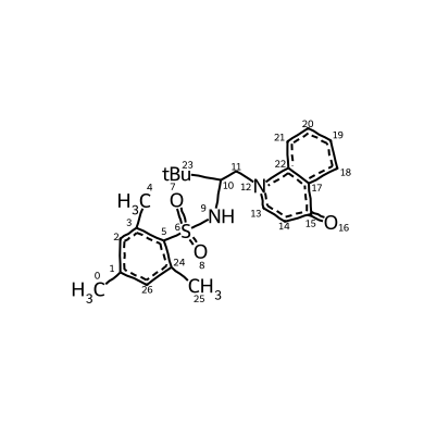 Cc1cc(C)c(S(=O)(=O)NC(Cn2ccc(=O)c3ccccc32)C(C)(C)C)c(C)c1